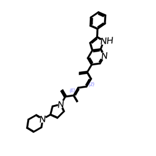 C=C(/C=C\C=C(/C)C(=C)N1CCC(N2CCCCC2)C1)c1cnc2[nH]c(-c3ccccc3)cc2c1